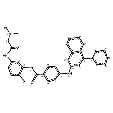 Cc1ccc(NC(=O)CN(C)C)cc1NC(=O)c1ccc(Nc2nc(-c3ccccc3)c3ccccc3n2)cc1